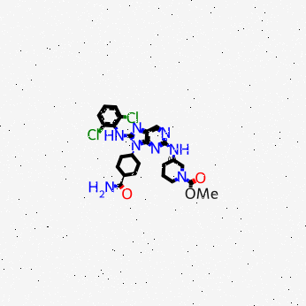 COC(=O)N1CCC[C@@H](Nc2ncc3nc(Nc4c(Cl)cccc4Cl)n([C@H]4CC[C@H](C(N)=O)CC4)c3n2)C1